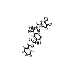 O=C(Nc1ccc2nc(Cc3ccc(Cl)c(Cl)c3)[nH]c(=O)c2c1)OCc1ccccc1